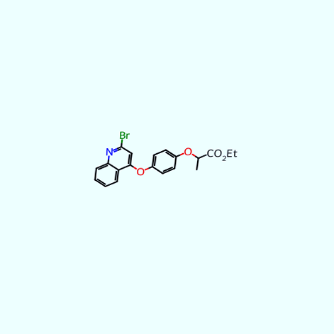 CCOC(=O)C(C)Oc1ccc(Oc2cc(Br)nc3ccccc23)cc1